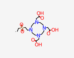 [CH2]CS(=O)(=O)CCN1CCN(CC(=O)O)CCN(CC(=O)O)CCN(CC(=O)O)CC1